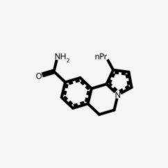 CCCc1ccn2c1-c1cc(C(N)=O)ccc1CC2